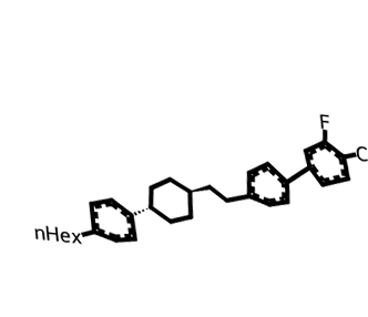 CCCCCCc1ccc([C@H]2CC[C@H](CCc3ccc(-c4ccc(Cl)c(F)c4)cc3)CC2)cc1